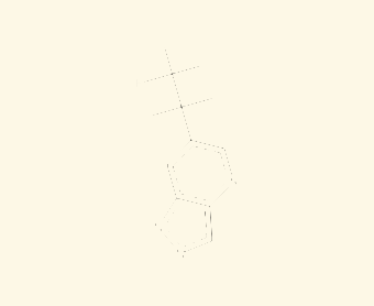 FC(F)(F)C(F)(F)c1cnc2c[nH]nc2c1